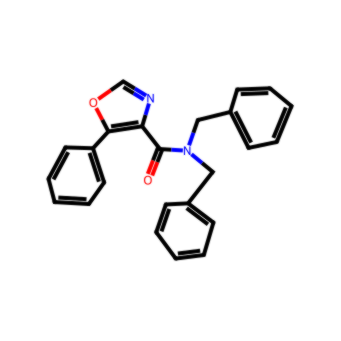 O=C(c1ncoc1-c1ccccc1)N(Cc1ccccc1)Cc1ccccc1